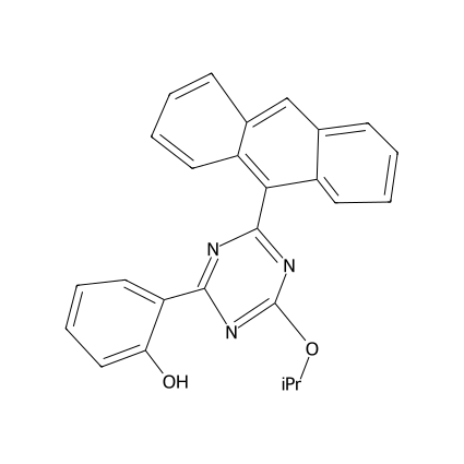 CC(C)Oc1nc(-c2ccccc2O)nc(-c2c3ccccc3cc3ccccc23)n1